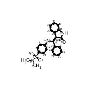 CN(C)S(=O)(=O)c1ccc(NC(=C2C(=O)Nc3ccccc32)c2ccccc2)cc1